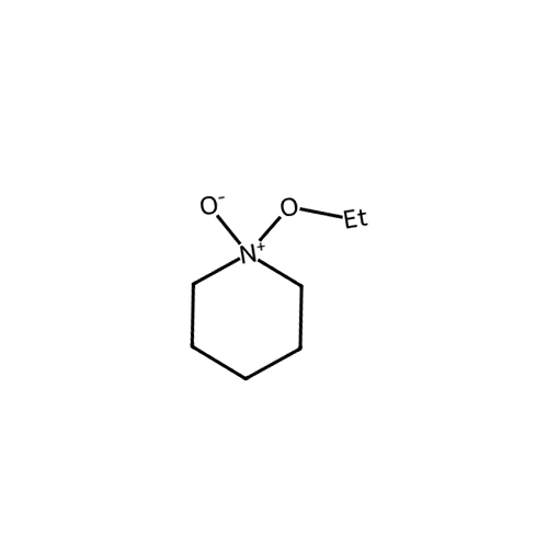 CCO[N+]1([O-])CCCCC1